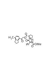 COC(=O)N[C@H](C(=O)N1CCC[C@H]1C(=O)OCC(=O)c1ccc(C)c2c1CCC2)C(C)C